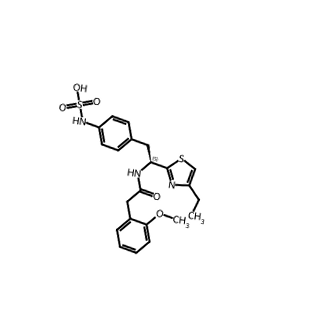 CCc1csc([C@H](Cc2ccc(NS(=O)(=O)O)cc2)NC(=O)Cc2ccccc2OC)n1